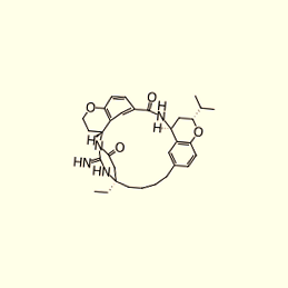 CC[C@]12CCCCc3ccc4c(c3)[C@H](C[C@H](C(C)C)O4)NC(=O)c3ccc4c(c3)[C@@H](CCO4)N(C(=N)N1)C(=O)C2